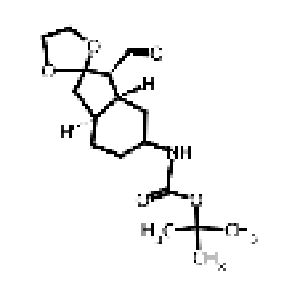 CC(C)(C)OC(=O)NC1CC[C@H]2CC3(OCCO3)[C@@H](C=O)[C@@H]2C1